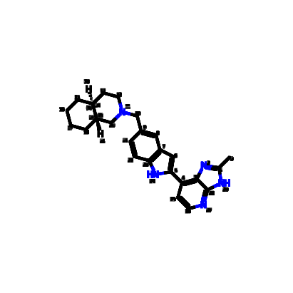 Cc1nc2c(-c3cc4cc(CN5CC[C@@H]6CCCC[C@H]6C5)ccc4[nH]3)ccnc2[nH]1